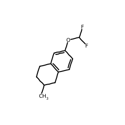 CC1CCc2cc(OC(F)F)ccc2C1